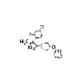 Cc1nnc(C2CCC(Oc3ccccn3)CC2)n1-c1ccc(Cl)cc1F